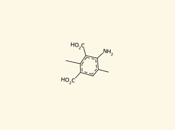 Cc1cc(C(=O)O)c(C)c(C(=O)O)c1N